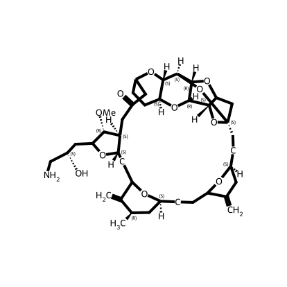 C=C1C[C@@H]2CC[C@@]34CC5O[C@H]6[C@@H](O3)[C@H]3OC(CC[C@@H]3O[C@H]6[C@H]5O4)CC(=O)C[C@H]3[C@H](CC4O[C@@H](CCC1O2)C[C@@H](C)C4=C)OC(C[C@H](O)CN)[C@@H]3OC